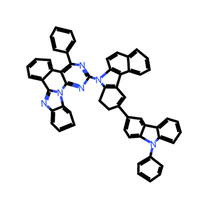 C1=C(c2ccc3c(c2)c2ccccc2n3-c2ccccc2)CCc2c1c1c3ccccc3ccc1n2-c1nc(-c2ccccc2)c2c3ccccc3c3nc4ccccc4n3c2n1